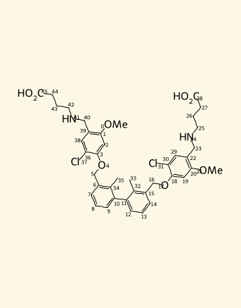 COc1cc(OCc2cccc(-c3cccc(COc4cc(OC)c(CNCCCC(=O)O)cc4Cl)c3C)c2C)c(Cl)cc1CNCCCC(=O)O